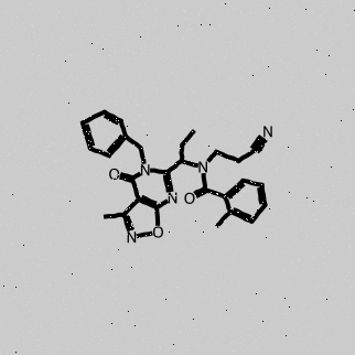 CCC(c1nc2onc(C)c2c(=O)n1Cc1ccccc1)N(CCC#N)C(=O)c1ccccc1C